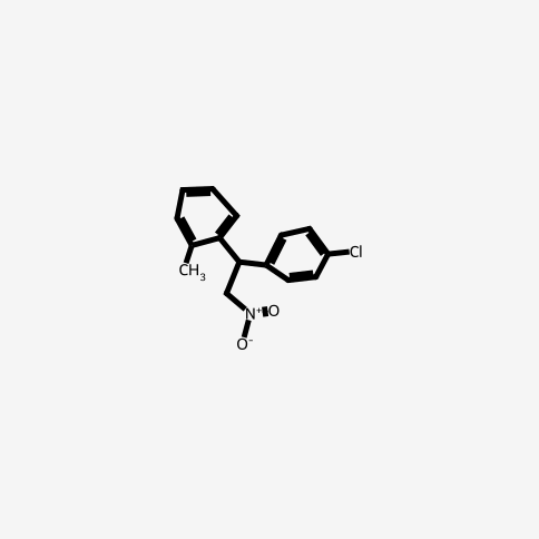 Cc1ccccc1C(C[N+](=O)[O-])c1ccc(Cl)cc1